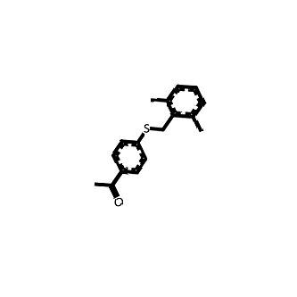 CC(=O)c1ccc(SCc2c(C)cccc2C)cc1